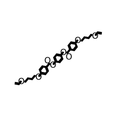 C=COCCCCOc1ccc(C(=O)Oc2ccc(OC(=O)c3ccc(OCCCCOC=C)cc3)cc2)cc1